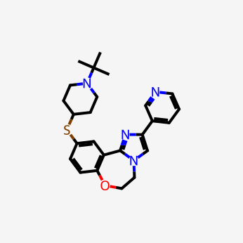 CC(C)(C)N1CCC(Sc2ccc3c(c2)-c2nc(-c4cccnc4)cn2CCO3)CC1